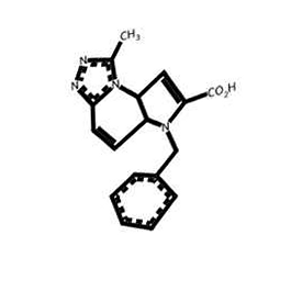 Cc1nnc2n1C1C=C(C(=O)O)N(Cc3ccccc3)C1C=C2